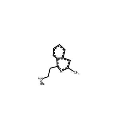 CC(C)(C)NCCc1nc(C(F)(F)F)cc2ccccc12